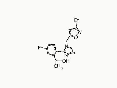 CCc1cc(Cn2cnnc2-c2ccc(F)cc2C(C)O)on1